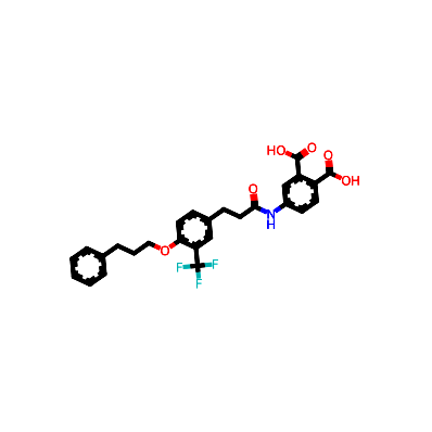 O=C(CCc1ccc(OCCCc2ccccc2)c(C(F)(F)F)c1)Nc1ccc(C(=O)O)c(C(=O)O)c1